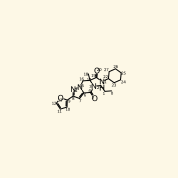 CCCN1C(=O)c2cc(-c3ccco3)nn2CC1(C)C(=O)NC1CCCCC1